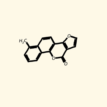 Cc1cccc2c1ccc1c3occc3c(=O)oc21